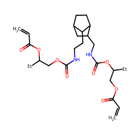 C=CC(=O)OCC(CC)OC(=O)NCC1CC2CCC1C2CCNC(=O)OCC(CC)OC(=O)C=C